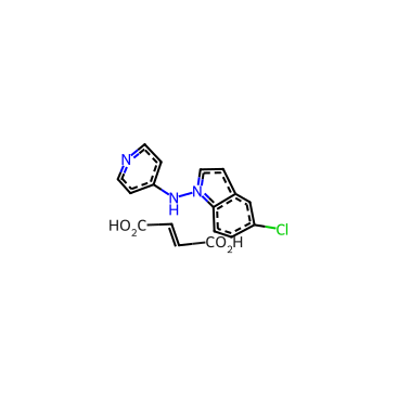 Clc1ccc2c(ccn2Nc2ccncc2)c1.O=C(O)C=CC(=O)O